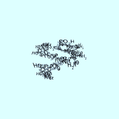 CCNC(=O)c1nnc(-c2cc(C(C)C)c(O)cc2O)n1-c1ccc(OC2CCN(C(=O)CCNC(=O)[C@@H](CCC(=O)N3CCC(Oc4ccc(-n5c(C(=O)NCC)nnc5-c5cc(C(C)C)c(O)cc5O)cc4)CC3)NC(=O)CCNC(=O)[C@@H](CCC(N)=O)NC(=O)[C@@H](CCC(N)=O)NC(=O)[C@@H](CCC(N)=O)NC(=O)CN3CCN(CC(=O)O)CCN(CC(=O)O)CCN(CC(=O)O)CC3)CC2)cc1